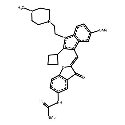 CNC(=O)Nc1ccc2c(c1)C(=O)/C(=C/c1c(C3CCC3)n(CCN3CCN(C)CC3)c3ccc(OC)cc13)O2